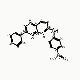 O=[N+]([O-])c1ccc(Nc2ccc3ncc(-c4ccccc4)nc3n2)cc1